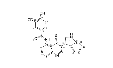 O=C(Nc1cccc2ncn(C3CNc4ccccc43)c(=O)c12)c1ccc(O)c(Cl)c1